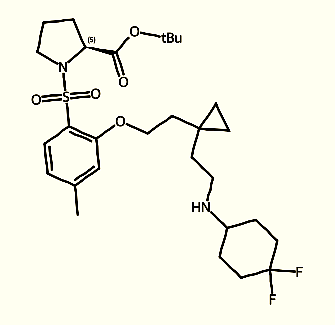 Cc1ccc(S(=O)(=O)N2CCC[C@H]2C(=O)OC(C)(C)C)c(OCCC2(CCNC3CCC(F)(F)CC3)CC2)c1